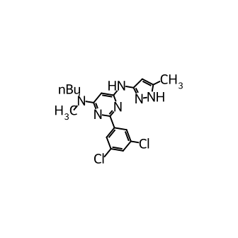 CCCCN(C)c1cc(Nc2cc(C)[nH]n2)nc(-c2cc(Cl)cc(Cl)c2)n1